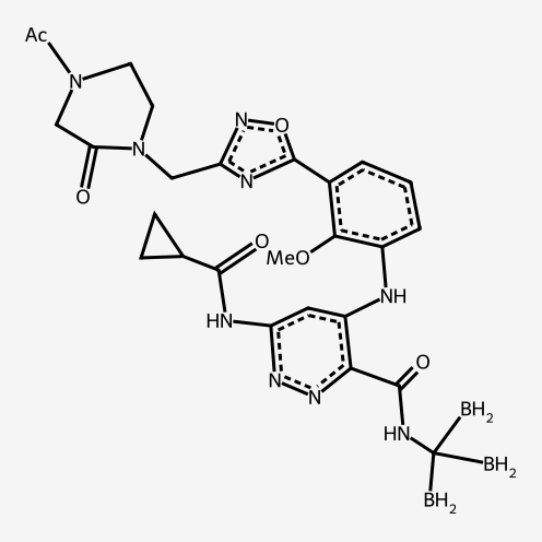 BC(B)(B)NC(=O)c1nnc(NC(=O)C2CC2)cc1Nc1cccc(-c2nc(CN3CCN(C(C)=O)CC3=O)no2)c1OC